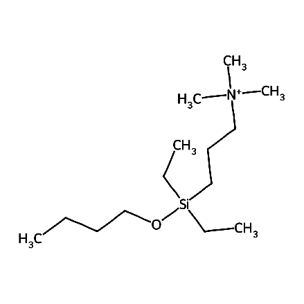 CCCCO[Si](CC)(CC)CCC[N+](C)(C)C